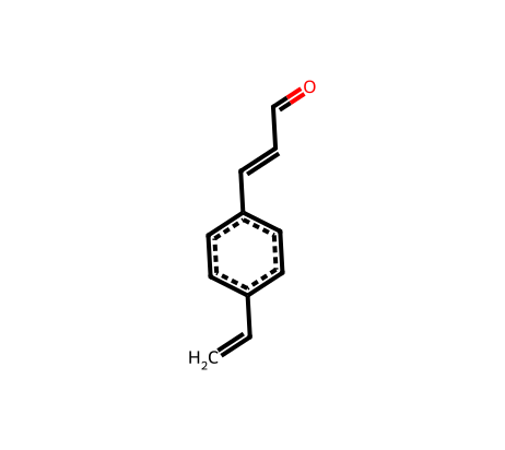 C=Cc1ccc(/C=C/C=O)cc1